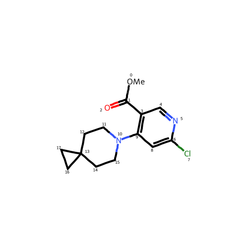 COC(=O)c1cnc(Cl)cc1N1CCC2(CC1)CC2